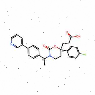 C[C@@H](c1ccc(-c2cccnc2)cc1)N1CC[C@@](CCC(=O)O)(c2ccc(F)cc2)OC1=O